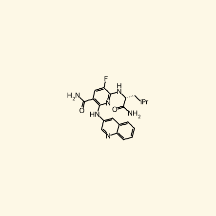 CC(C)C[C@@H](Nc1nc(Nc2cnc3ccccc3c2)c(C(N)=O)cc1F)C(N)=O